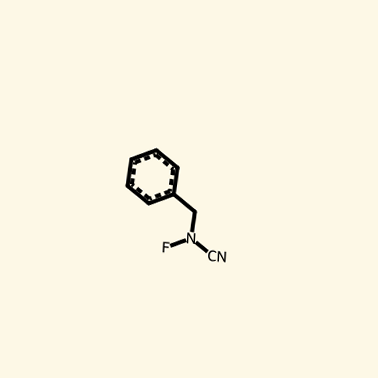 N#CN(F)Cc1ccccc1